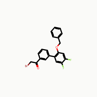 O=C(CBr)c1cccc(-c2cc(F)c(F)cc2OCc2ccccc2)c1